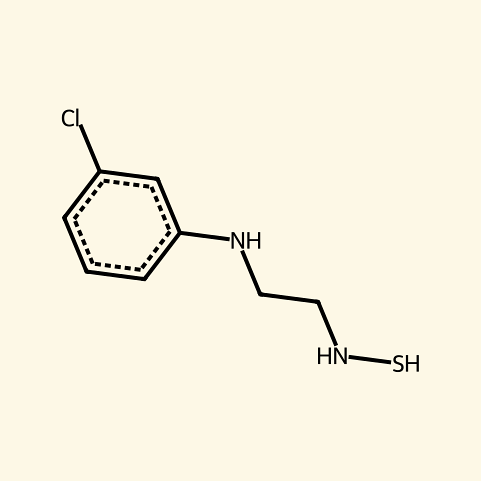 SNCCNc1cccc(Cl)c1